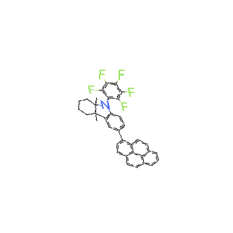 CC12CCCCC1(C)N(c1c(F)c(F)c(F)c(F)c1F)c1ccc(-c3ccc4ccc5cccc6ccc3c4c56)cc12